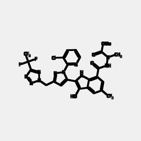 COC(=O)N(C)NC(=O)c1cc(C(F)(F)F)cc2c(O)c(-c3cc(Cn4nnc(C(F)(F)C(F)(F)F)n4)nn3-c3ncccc3Cl)[nH]c12